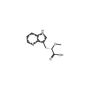 CO[C@@H](Cc1c[nH]c2cccnc12)C(=O)O